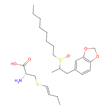 CC/C=C/SC[C@H](N)C(=O)O.CCCCCCCC[S+]([O-])C(C)Cc1ccc2c(c1)OCO2